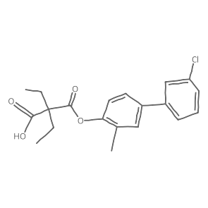 CCC(CC)(C(=O)O)C(=O)Oc1ccc(-c2cccc(Cl)c2)cc1C